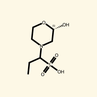 CCC(N1CCO[C@H](O)C1)S(=O)(=O)O